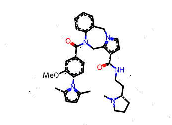 COc1cc(C(=O)N2Cc3c(C(=O)NCCC4CCCN4C)ccn3Cc3ccccc32)ccc1-n1c(C)ccc1C